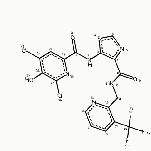 O=C(Nc1scnc1C(=O)NCc1ncccc1C(F)(F)F)c1cc(Cl)c(O)c(Cl)n1